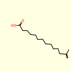 C=C(C)CCCCCCCCCCCC(=O)O